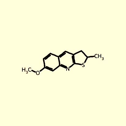 COc1ccc2cc3c(nc2c1)SC(C)C3